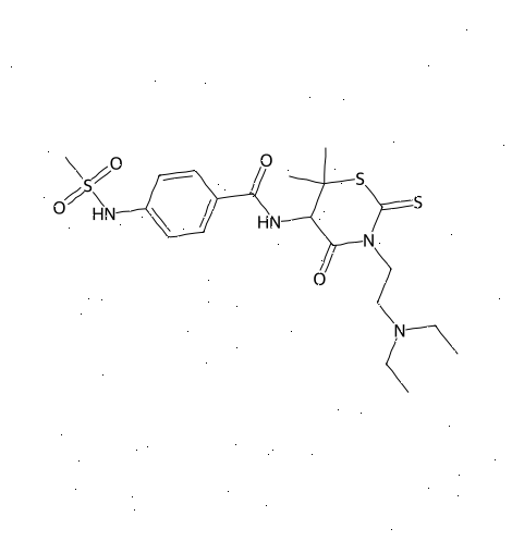 CCN(CC)CCN1C(=O)C(NC(=O)c2ccc(NS(C)(=O)=O)cc2)C(C)(C)SC1=S